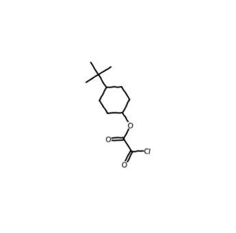 CC(C)(C)C1CCC(OC(=O)C(=O)Cl)CC1